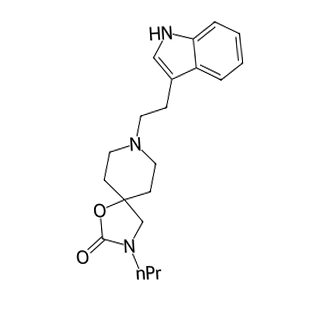 CCCN1CC2(CCN(CCc3c[nH]c4ccccc34)CC2)OC1=O